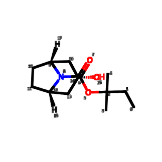 CCC(C)(C)OC(=O)N1[C@@H]2CC[C@H]1C[C@@H](O)C2